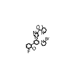 Brc1ccccn1.COc1c(F)cccc1-c1cccc(-n2cnc(C(=O)c3ncccc3C)c2)c1